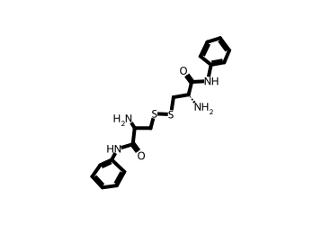 NC(CSSC[C@@H](N)C(=O)Nc1ccccc1)C(=O)Nc1ccccc1